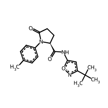 Cc1ccc(N2C(=O)CC[C@H]2C(=O)Nc2cc(C(C)(C)C)no2)cc1